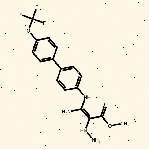 COC(=O)/C(NN)=C(/N)Nc1ccc(-c2ccc(OC(F)(F)F)cc2)cc1